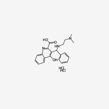 CN(C)CCNC(c1ccccc1)c1c(C(=O)O)nc2ccccc2c1O.Cl.Cl